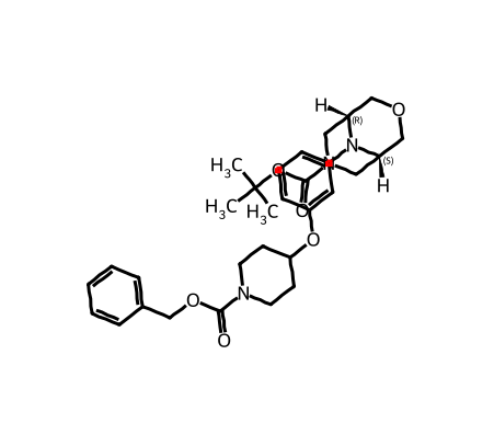 CC(C)(C)OC(=O)N1C[C@H]2COC[C@@H](C1)N2c1cccc(OC2CCN(C(=O)OCc3ccccc3)CC2)c1